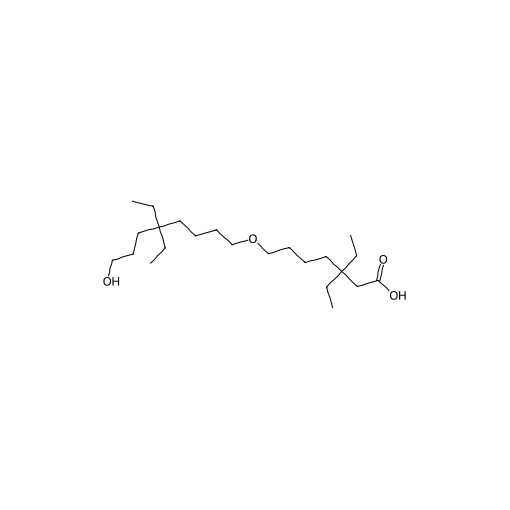 CCC(CC)(CCCO)CCCCOCCCCC(CC)(CC)CC(=O)O